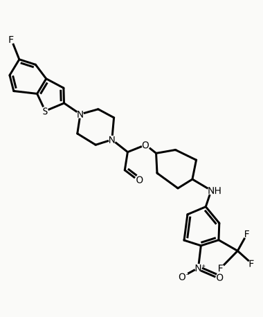 O=CC(OC1CCC(Nc2ccc([N+](=O)[O-])c(C(F)(F)F)c2)CC1)N1CCN(c2cc3cc(F)ccc3s2)CC1